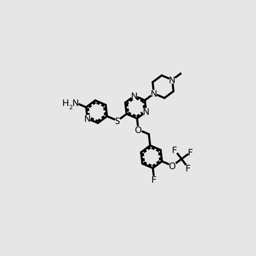 CN1CCN(c2ncc(Sc3ccc(N)nc3)c(OCc3ccc(F)c(OC(F)(F)F)c3)n2)CC1